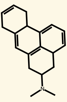 CN(C)C1CC2=C3C(=CC=CC3C1)C1CC=CCC1=C2